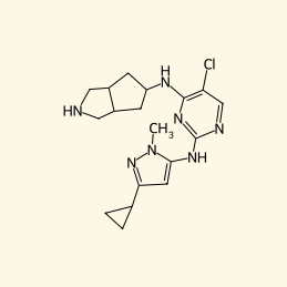 Cn1nc(C2CC2)cc1Nc1ncc(Cl)c(NC2CC3CNCC3C2)n1